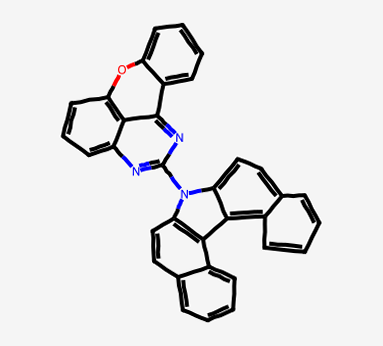 c1ccc2c(c1)Oc1cccc3nc(-n4c5ccc6ccccc6c5c5c6ccccc6ccc54)nc-2c13